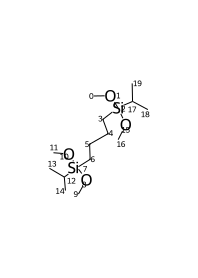 CO[Si](CCCC[Si](OC)(OC)C(C)C)(OC)C(C)C